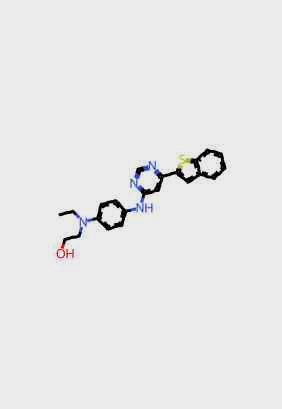 CCN(CCO)c1ccc(Nc2cc(-c3cc4ccccc4s3)ncn2)cc1